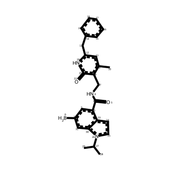 Bc1cc(C(=O)NCc2c(C)cc(Cc3ccccc3)[nH]c2=O)c2ccn(C(C)C)c2c1